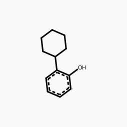 Oc1[c]cccc1C1CCCCC1